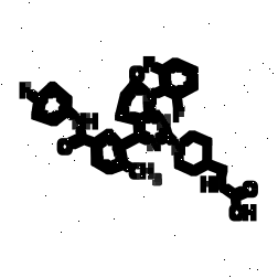 Cc1ccc(C(=O)Nc2ccc(F)cc2)cc1-c1nc(N2CCC(CNC(=O)O)CC2)nc2c1ccc(=O)n2-c1c(F)cccc1F